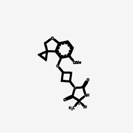 CC[C@]1(C)NC(=O)N(C2CC(Oc3c(OC)ccc4c3C3(CC3)CO4)C2)C1=O